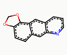 c1cnc2cc3ccc4c(c3cc2c1)OCO4